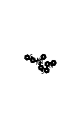 c1ccc(-c2nc(-c3ccc4c(c3)sc3ccccc34)nc(-c3ccc4sc5cccc(-c6cccc7c6oc6ccccc67)c5c4c3)n2)cc1